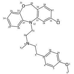 COc1ccc(CCN(C)CCN2c3cc(Cl)ccc3COc3ccccc32)cc1